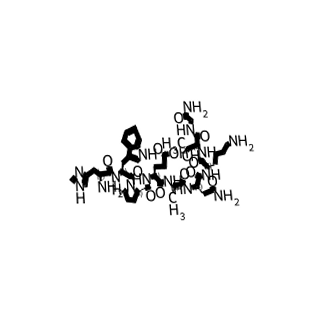 CC(C)[C@H](NC(=O)[C@H](CCCCN)NC(=O)[C@H](CC(N)=O)NC(=O)[C@H](C)NC(=O)[C@H](CCC(=O)O)NC(=O)[C@@H]1CCCN1C(=O)[C@H](Cc1c[nH]c2ccccc12)NC(=O)[C@@H](N)Cc1c[nH]cn1)C(=O)NCC(N)=O